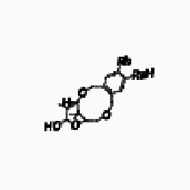 CC1C(O)OC2COCc3c[c]([RaH])[c]([Rb])cc3CO[C@@H]1C2(C)C